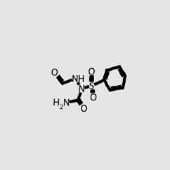 NC(=O)N(NC=O)S(=O)(=O)c1ccccc1